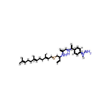 C=CC(CSC/C=C(\C)CC/C=C(\C)CCC=C(C)C)NC(=C)CNC(=C)c1ccc(N(C)N)cc1